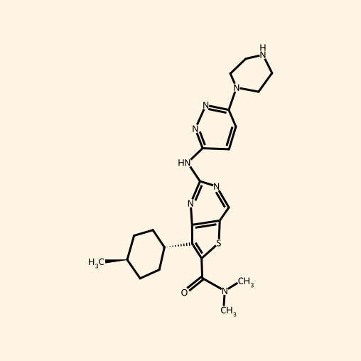 CN(C)C(=O)c1sc2cnc(Nc3ccc(N4CCNCC4)nn3)nc2c1[C@H]1CC[C@H](C)CC1